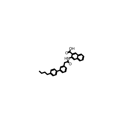 CCCCc1ccc(-c2cccc(CC(=O)Nc3cc4ccccc4cc3C(=O)O)c2)cc1